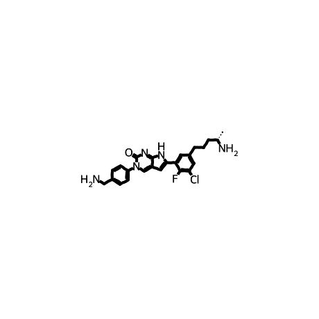 C[C@H](N)CCCc1cc(Cl)c(F)c(-c2cc3cn(-c4ccc(CN)cc4)c(=O)nc3[nH]2)c1